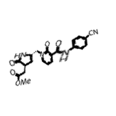 COC(=O)C[C@@H]1C[C@@H](Cn2cccc(C(=O)Nc3ccc(C#N)cc3)c2=O)NC1=O